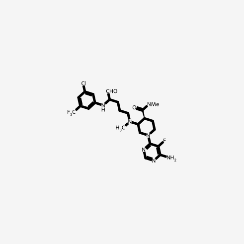 CNC(=O)[C@H]1CCN(c2ncnc(N)c2F)CC1N(C)CCCC(C=O)Nc1cc(Cl)cc(C(F)(F)F)c1